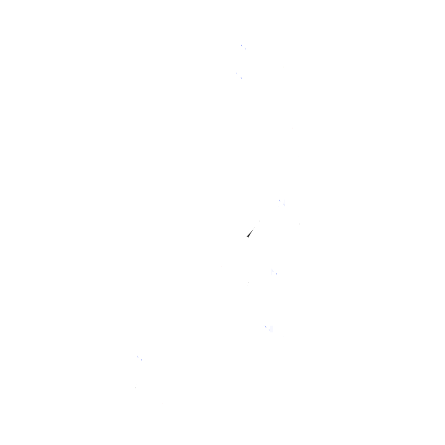 COC(=O)N(C)c1ccc(C(N)C(=O)NC2C(=O)N3C(C(=O)O)=C(CSc4nnc(C)s4)CS[C@@H]23)cc1